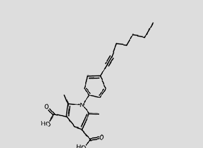 CCCCCC#Cc1ccc(N2C(C)=C(C(=O)O)CC(C(=O)O)=C2C)cc1